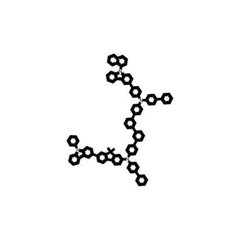 CC1(C)c2cc(-c3ccc4c(c3)c3ccccc3n4-c3ccccc3)ccc2-c2ccc(N(c3ccc(-c4ccccc4)cc3)c3ccc(-c4cccc(-c5cccc(-c6ccc(N(c7ccc(-c8ccccc8)cc7)c7ccc(-c8ccc9c(c8)c8ccccc8n9-c8cccc9ccccc89)cc7)cc6)c5)c4)cc3)cc21